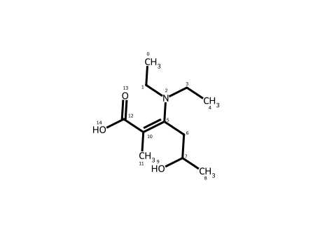 CCN(CC)C(CC(C)O)=C(C)C(=O)O